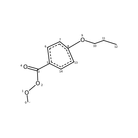 [CH2]OOC(=O)c1ccc(OCCC)cc1